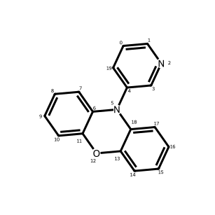 c1cncc(N2c3ccccc3Oc3ccccc32)c1